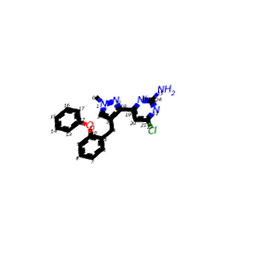 Cn1cc(Cc2ccccc2Oc2ccccc2)c(-c2cc(Cl)nc(N)n2)n1